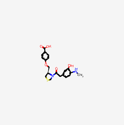 CNc1ccc(CC(=O)N2CSC[C@H]2COc2ccc(C(=O)O)cc2)cc1O